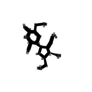 C=C=C1[C@H](n2cc(CO)c(=O)[nH]c2=O)O[C@H](CO)[C@H]1O